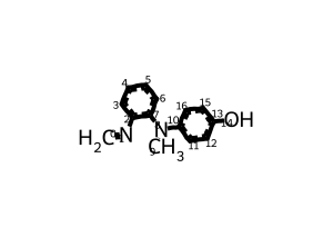 C=Nc1ccccc1N(C)c1ccc(O)cc1